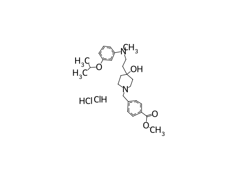 COC(=O)c1ccc(CN2CCC(O)(CCN(C)c3cccc(OC(C)C)c3)CC2)cc1.Cl.Cl